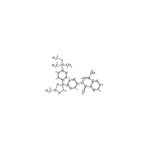 CCC(C)(C)c1ccc(C2(c3ccc(OC(=O)c4ccccc4C(=O)O)cc3)CCC(C)C2)cc1